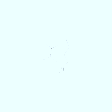 CC(C)C(C)C.CCCCN